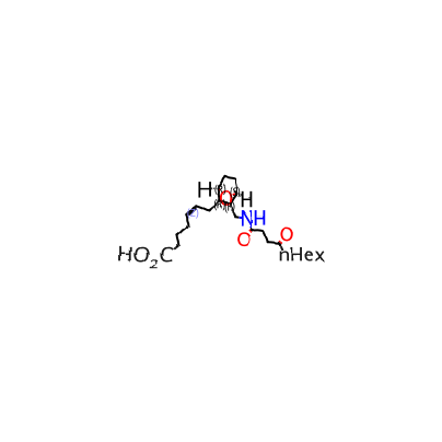 CCCCCCC(=O)CCC(=O)NC[C@H]1[C@@H](C/C=C\CCCC(=O)O)[C@H]2CC[C@@H]1O2